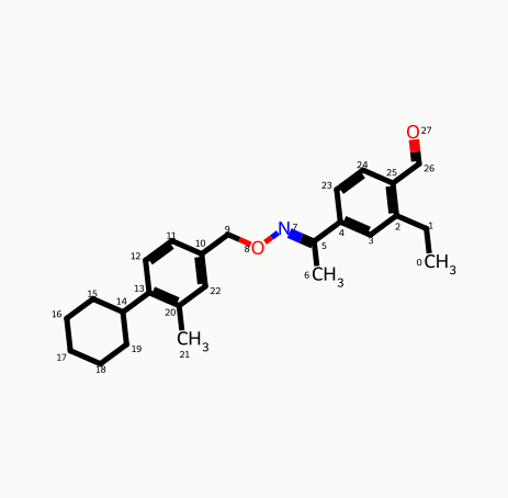 CCc1cc(/C(C)=N/OCc2ccc(C3CCCCC3)c(C)c2)ccc1C=O